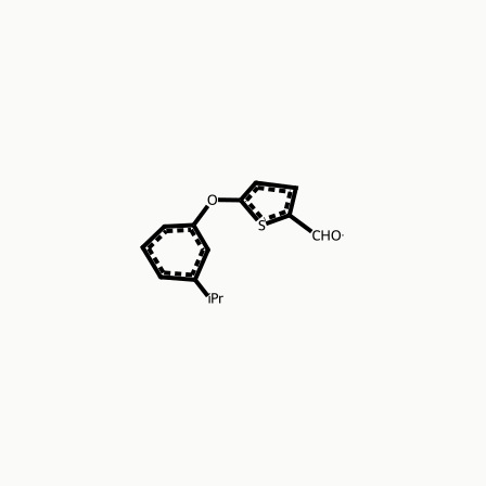 CC(C)c1cccc(Oc2ccc([C]=O)s2)c1